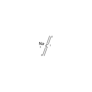 C=C=C.[Na]